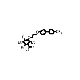 [C]=C(CC)c1c(CC)c(CC)c(F)c(OCCCOc2ccc(-c3ccc(C(F)(F)F)cc3)cc2)c1CC